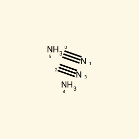 C#N.C#N.N.N